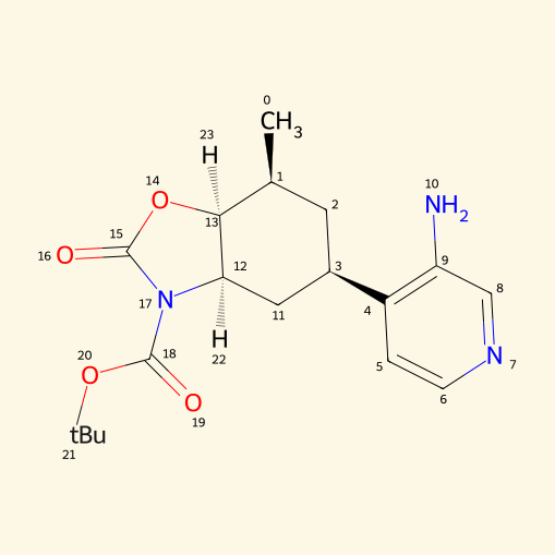 C[C@H]1C[C@@H](c2ccncc2N)C[C@@H]2[C@H]1OC(=O)N2C(=O)OC(C)(C)C